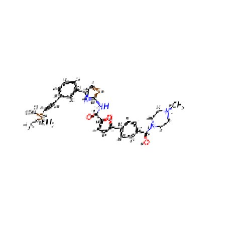 CN1CCN(C(=O)c2ccc(-c3ccc(C(=O)Nc4nc(-c5cccc(C#CS(C)(C)C(C)(C)C)c5)cs4)o3)cc2)CC1